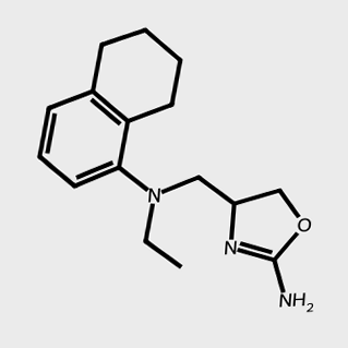 CCN(CC1COC(N)=N1)c1cccc2c1CCCC2